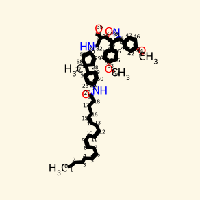 CCCCC/C=C\C/C=C\C/C=C\C/C=C\CCCC(=O)Nc1ccc(C2(C)C=CC(NCC(C=O)c3onc(-c4ccc(OC)cc4)c3-c3ccc(OC)cc3)=CC2)cc1